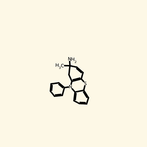 CC1(N)C=CC2=C(C1)N(c1ccccc1)c1ccccc1S2